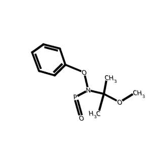 COC(C)(C)N(Oc1ccccc1)P=O